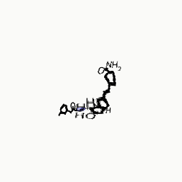 Cc1cccc(C[C@@H](O)/C=C/[C@@H]2[C@H]3CC(CCc4cccc(C(N)=O)c4)=C[C@H]3C[C@H]2O)c1